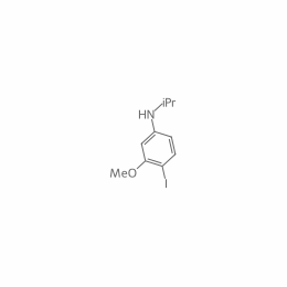 COc1cc(NC(C)C)ccc1I